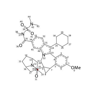 COc1ccc2c(c1)C1CC1(C(=O)N1C3CCC1CN(C)C3)Cn1c-2c(C2CCCCC2)c2ccc(C(=O)N(C)S(=O)(=O)N(C)C)cc21